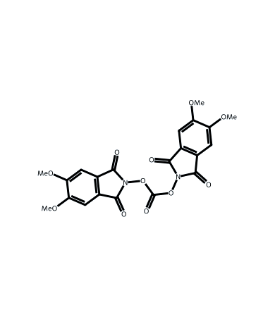 COc1cc2c(cc1OC)C(=O)N(OC(=O)ON1C(=O)c3cc(OC)c(OC)cc3C1=O)C2=O